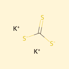 S=C([S-])[S-].[K+].[K+]